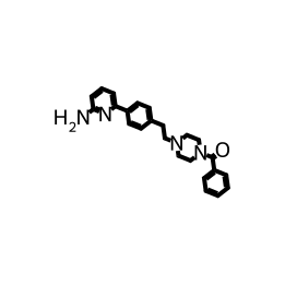 Nc1cccc(-c2ccc(CCN3CCN(C(=O)c4ccccc4)CC3)cc2)n1